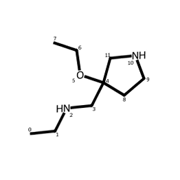 CCNCC1(OCC)CCNC1